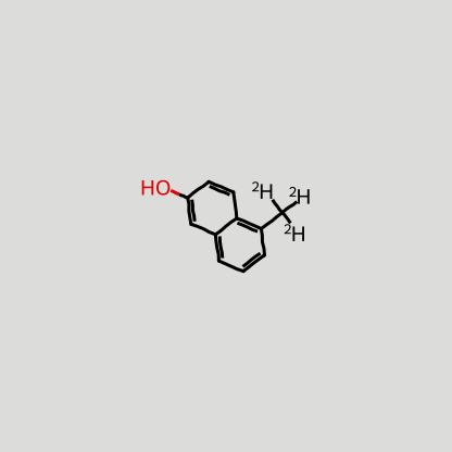 [2H]C([2H])([2H])c1cccc2cc(O)ccc12